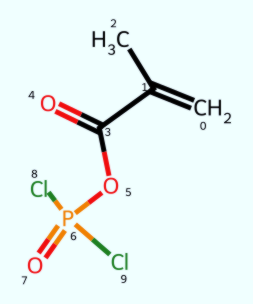 C=C(C)C(=O)OP(=O)(Cl)Cl